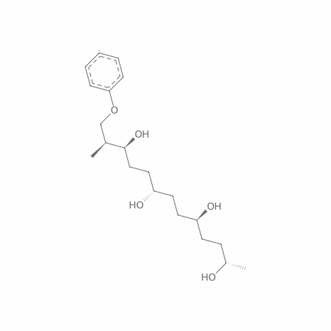 C[C@H](O)CC[C@H](O)CC[C@H](O)CC[C@H](O)[C@@H](C)COc1cc[c]cc1